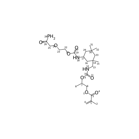 C=C(C)C(=O)OCC(C)OC(=O)NCC1(C)CC(NC(=O)OCCOCC(=O)P)CC(C)(C)C1